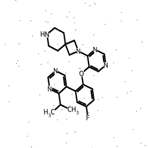 CC(C)c1ncncc1-c1cc(F)ccc1Oc1cncnc1N1CC2(CCNCC2)C1